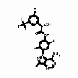 Cc1nn(-c2cc(F)c(NC(=O)[C@H](O)c3cc(F)cc(C(F)(F)F)c3)cc2F)c2c(N)ncnc12